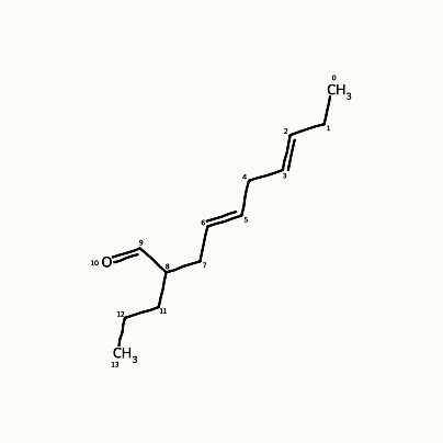 CCC=CCC=CCC(C=O)CCC